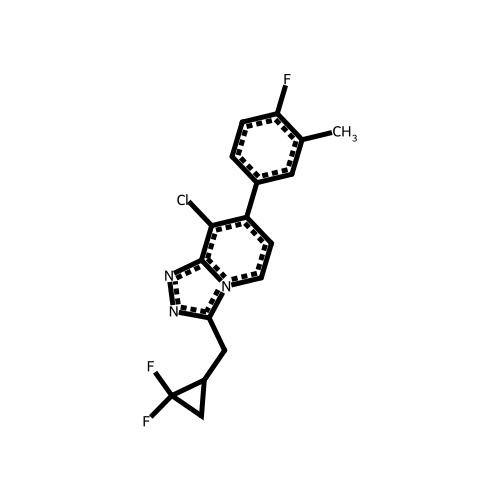 Cc1cc(-c2ccn3c(CC4CC4(F)F)nnc3c2Cl)ccc1F